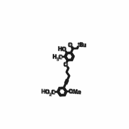 COc1ccc(C(=O)O)cc1C#CCCCOc1ccc(C(=O)CC(C)(C)C)c(O)c1C